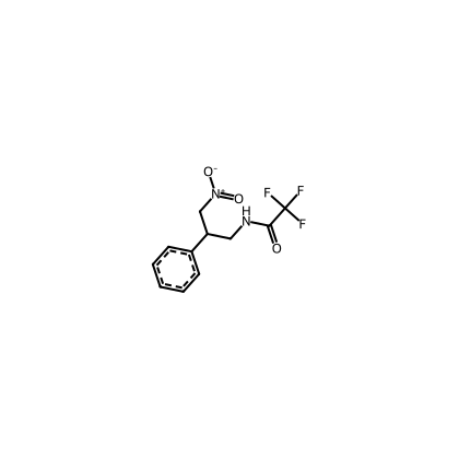 O=C(NCC(C[N+](=O)[O-])c1ccccc1)C(F)(F)F